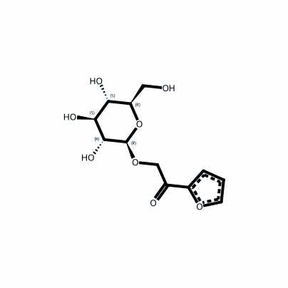 O=C(CO[C@@H]1O[C@H](CO)[C@@H](O)[C@H](O)[C@H]1O)c1ccco1